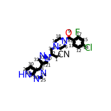 N#CCC(CN1CCN(C(=O)c2ccc(Cl)cc2F)CC1)n1cc(-c2ncnc3[nH]ccc23)cn1